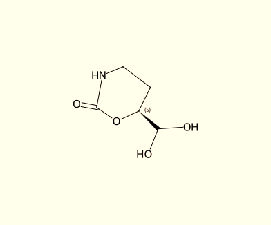 O=C1NCC[C@@H](C(O)O)O1